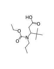 CCCN(C(=O)OCC)C(CC(=O)O)C(C)(C)C